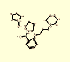 O=C(c1ccccc1OCCCN1CCCCC1)N1CCC[C@H]1CN1CCCC1